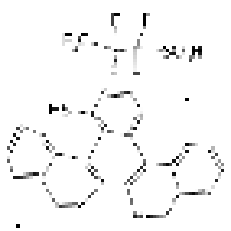 O=S(=O)(O)C(F)(F)C(F)(F)C(F)(F)F.Sc1cccc(-c2cccc3ccccc23)c1-c1cccc2ccccc12